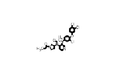 C=CC(=O)N1CCC(N(C=O)c2ccncc2N(C)c2ccc(Oc3ccc(Cl)c(Cl)c3)c(Cl)c2)C1